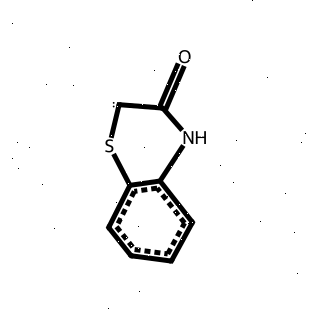 O=C1[C]Sc2ccccc2N1